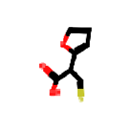 O=C(O)C(C=S)c1ccco1